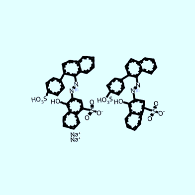 O=S(=O)([O-])c1cc(/N=N/c2c(-c3ccc(S(=O)(=O)O)cc3)ccc3ccccc23)c(O)c2ccccc12.O=S(=O)([O-])c1cc(/N=N/c2c(-c3ccc(S(=O)(=O)O)cc3)ccc3ccccc23)c(O)c2ccccc12.[Na+].[Na+]